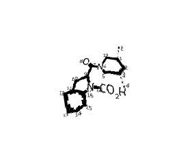 C[C@@H]1C[C@H](C)CN(C(=O)C2Cc3ccccc3N2C(=O)O)C1